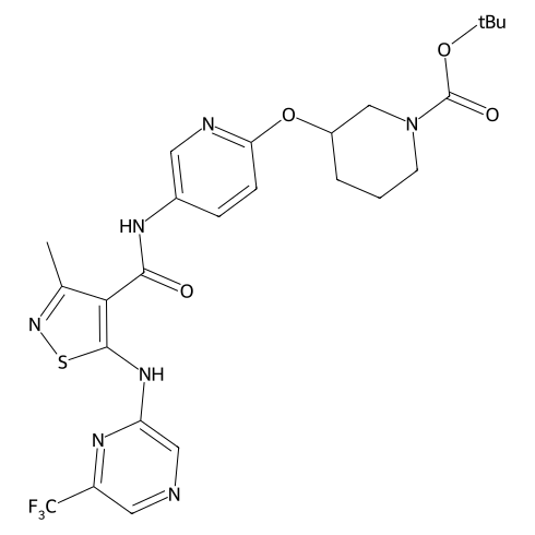 Cc1nsc(Nc2cncc(C(F)(F)F)n2)c1C(=O)Nc1ccc(OC2CCCN(C(=O)OC(C)(C)C)C2)nc1